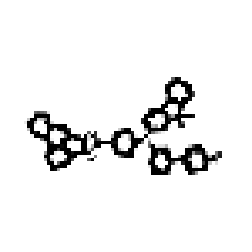 CC1(C)c2ccccc2-c2ccc(N(c3ccc(-c4nc5c(s4)-c4cccc6c4c-5cc4ccccc46)cc3)c3cccc(-c4ccc(F)cc4)c3)cc21